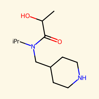 CC(O)C(=O)N(CC1CCNCC1)C(C)C